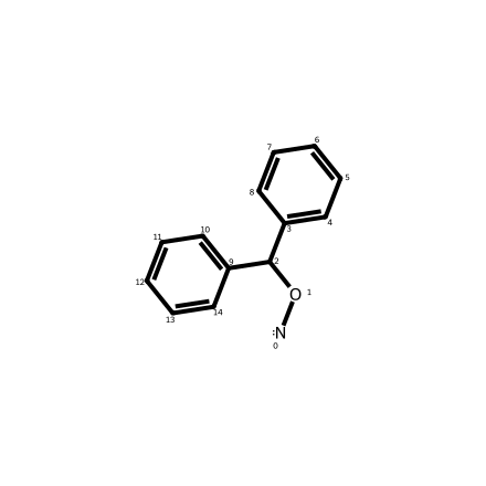 [N]OC(c1ccccc1)c1ccccc1